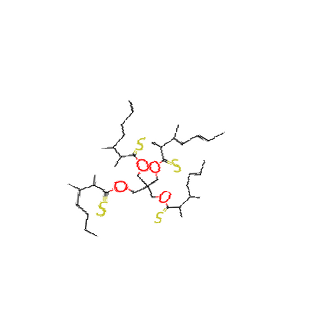 CCCCC(C)C(C)C(=S)OCC(COC(=S)C(C)C(C)CCCC)(COC(=S)C(C)C(C)CCCC)COC(=S)C(C)C(C)CCCC